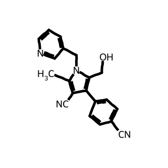 Cc1c(C#N)c(-c2ccc(C#N)cc2)c(CO)n1Cc1cccnc1